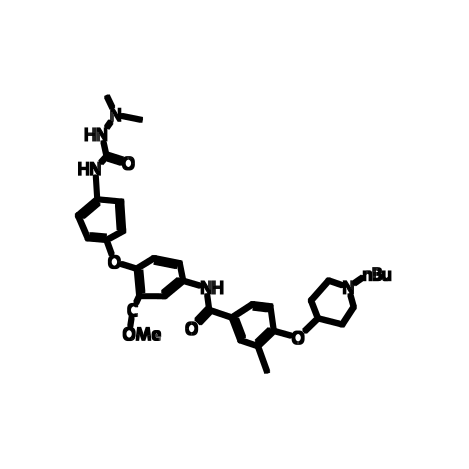 CCCCN1CCC(Oc2ccc(C(=O)Nc3ccc(Oc4ccc(NC(=O)NN(C)C)cc4)c(COC)c3)cc2C)CC1